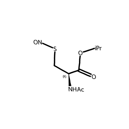 CC(=O)N[C@@H](CSN=O)C(=O)OC(C)C